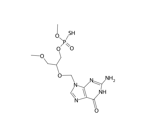 COCC(COP(=O)(S)OC)OCn1cnc2c(=O)[nH]c(N)nc21